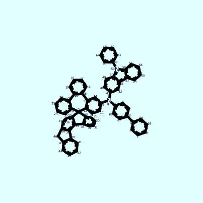 c1ccc(-c2ccc(N(c3ccc4c(c3)-c3ccccc3-c3ccccc3C43c4ccccc4-c4c3ccc3c4-c4ccccc4C3)c3ccc4c(c3)c3ccccc3n4-c3ccccc3)cc2)cc1